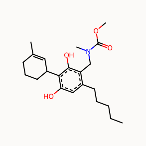 CCCCCc1cc(O)c(C2C=C(C)CCC2)c(O)c1CN(C)C(=O)OC